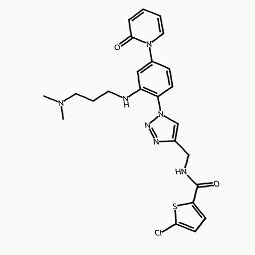 CN(C)CCCNc1cc(-n2ccccc2=O)ccc1-n1cc(CNC(=O)c2ccc(Cl)s2)nn1